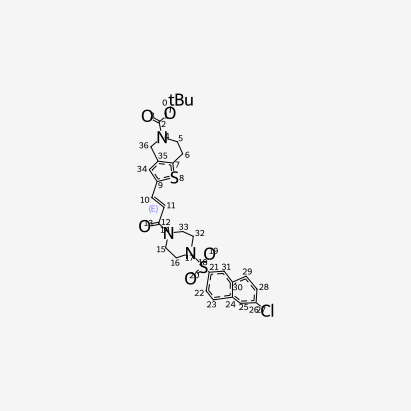 CC(C)(C)OC(=O)N1CCc2sc(/C=C/C(=O)N3CCN(S(=O)(=O)c4ccc5cc(Cl)ccc5c4)CC3)cc2C1